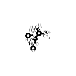 CC(=NO)c1cc(-c2cc(C(=O)NC3CCOCC3)c(C)n2CC2CCCCC2)cc(C(C)(C)C)c1